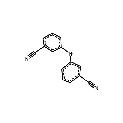 N#Cc1cccc([N]c2cccc(C#N)c2)c1